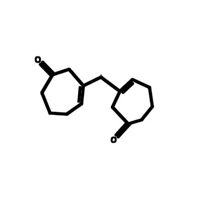 O=C1CCCC=C([CH]C2=CCCCC(=O)C2)C1